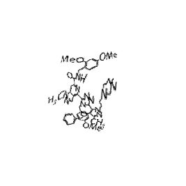 COc1ccc(Cn2c(-c3nc(C(=O)NCc4ccc(OC)cc4OC)cc4c3cnn4C)nnc2-c2c(OCc3ccccc3)c(C)nn2CCn2cnnc2)cc1